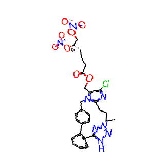 CCCCc1nc(Cl)c(COC(=O)CCC[C@@H](CO[N+](=O)[O-])O[N+](=O)[O-])n1Cc1ccc(-c2ccccc2-c2nnn[nH]2)cc1